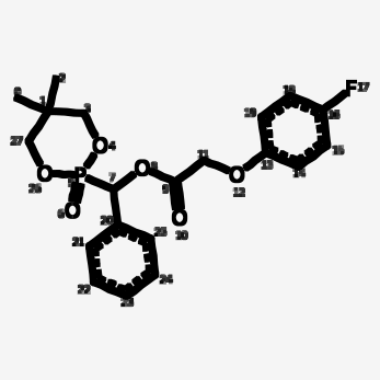 CC1(C)COP(=O)(C(OC(=O)COc2ccc(F)cc2)c2ccccc2)OC1